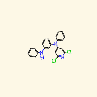 Clc1cc(N(c2ccccc2)c2cccc(Nc3ccccc3)c2)cc(Cl)n1